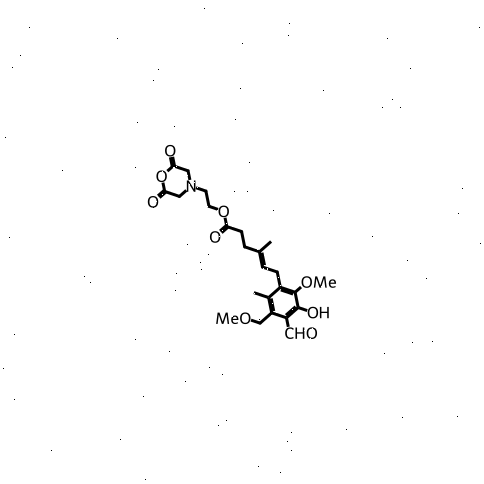 COCc1c(C)c(C/C=C(\C)CCC(=O)OCCN2CC(=O)OC(=O)C2)c(OC)c(O)c1C=O